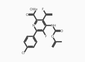 C=C(C)OC(=O)Nc1c(F)c(-c2ccc(Cl)cc2)nc(C(=O)OC)c1C(=C)F